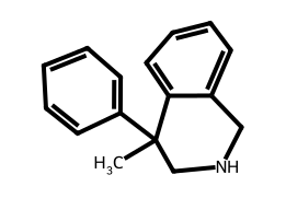 CC1(c2ccccc2)CNCc2ccccc21